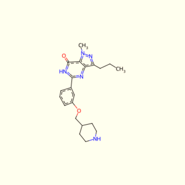 CCCc1nn(C)c2c(=O)[nH]c(-c3cccc(OCC4CCNCC4)c3)nc12